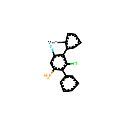 COc1ccccc1-c1c(F)cc(P)c(-c2ccccc2)c1Cl